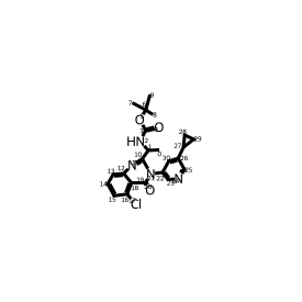 CC(NC(=O)OC(C)(C)C)c1nc2cccc(Cl)c2c(=O)n1-c1cncc(C2CC2)c1